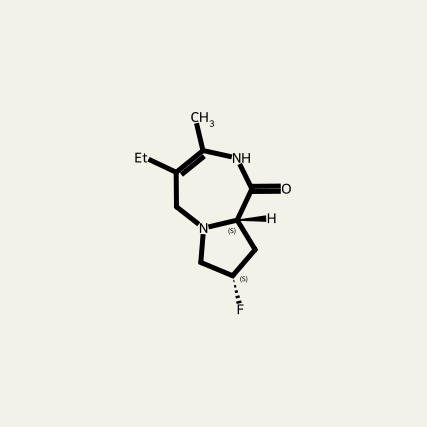 CCC1=C(C)NC(=O)[C@@H]2C[C@H](F)CN2C1